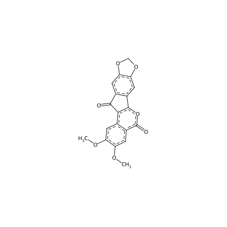 COc1cc2c3c(oc(=O)c2cc1OC)-c1cc2c(cc1C3=O)OCO2